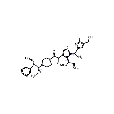 C=C/C(OC)=c1/c(C(=O)C(=O)N2CCN(/C(=N/N)N(N=C)c3ccccc3)CC2)c[nH]/c1=C(/N)c1cc(CO)[nH]n1